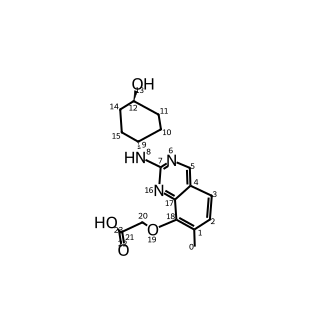 Cc1ccc2cnc(N[C@H]3CC[C@H](O)CC3)nc2c1OCC(=O)O